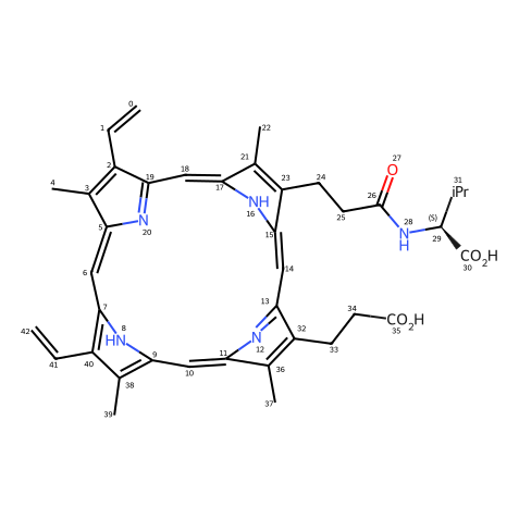 C=CC1=C(C)c2cc3[nH]c(cc4nc(cc5[nH]c(cc1n2)c(C)c5CCC(=O)N[C@H](C(=O)O)C(C)C)C(CCC(=O)O)=C4C)c(C)c3C=C